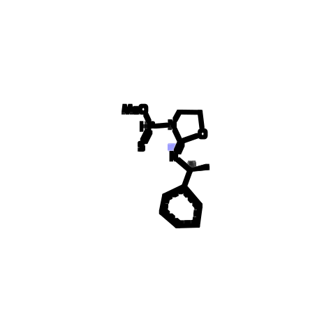 CO[PH](=S)N1CCO/C1=N\[C@@H](C)c1ccccc1